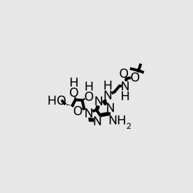 CC(C)(C)OC(=O)NCCNc1nc(N)c2ncn([C@@H]3O[C@H](CO)[C@@H](O)[C@H]3O)c2n1